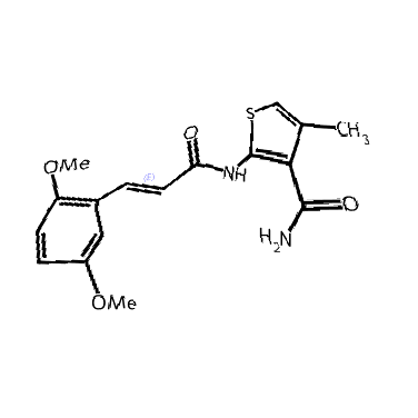 COc1ccc(OC)c(/C=C/C(=O)Nc2scc(C)c2C(N)=O)c1